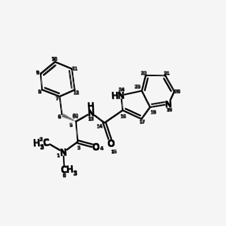 CN(C)C(=O)[C@H](Cc1ccccc1)NC(=O)c1cc2ncccc2[nH]1